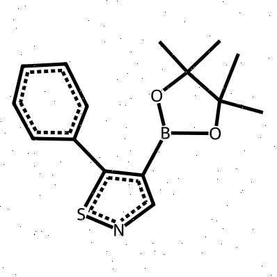 CC1(C)OB(c2cnsc2-c2ccccc2)OC1(C)C